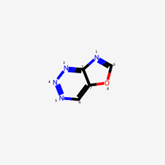 [c]1nc2nnncc2o1